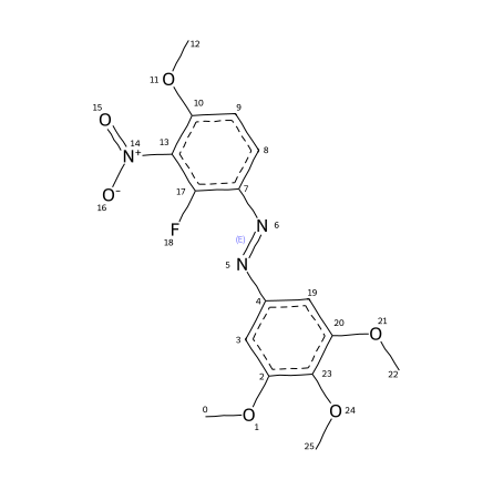 COc1cc(/N=N/c2ccc(OC)c([N+](=O)[O-])c2F)cc(OC)c1OC